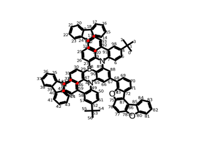 CC(C)(C)c1ccc(N2c3cc(-n4c5ccccc5c5ccccc54)ccc3B3c4ccc(-n5c6ccccc6c6ccccc65)cc4N(c4ccc(C(C)(C)C)cc4-c4ccccc4)c4cc(-c5cccc6c5oc5ccc7oc8ccccc8c7c56)cc2c43)c(-c2ccccc2)c1